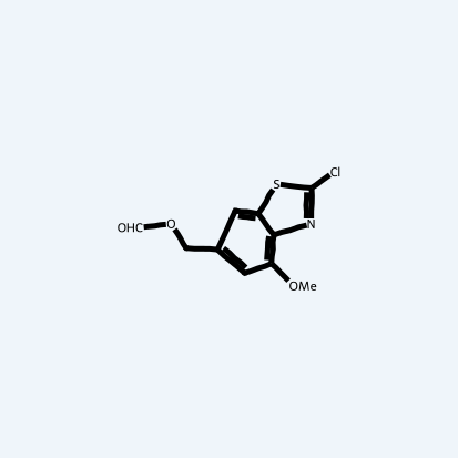 COc1cc(COC=O)cc2sc(Cl)nc12